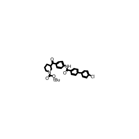 CC(C)(C)OC(=O)N1CCCC(C(=O)c2ccc(NC(=O)c3ccc(-c4ccc(Cl)cc4)cc3)cc2)C1